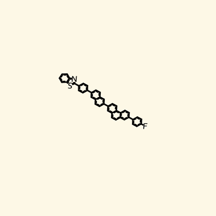 Fc1ccc(-c2ccc3c(ccc4cc(-c5ccc6cc(-c7ccc(-c8nc9ccccc9s8)cc7)ccc6c5)ccc43)c2)cc1